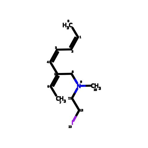 C\C=C/C=C\C(=C\C)CN(C)CCI